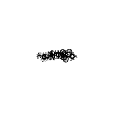 O=C1c2ccccc2OCC1S(=O)(=O)N1CCN(c2nc(Cc3ccc(F)cc3)ns2)CC1